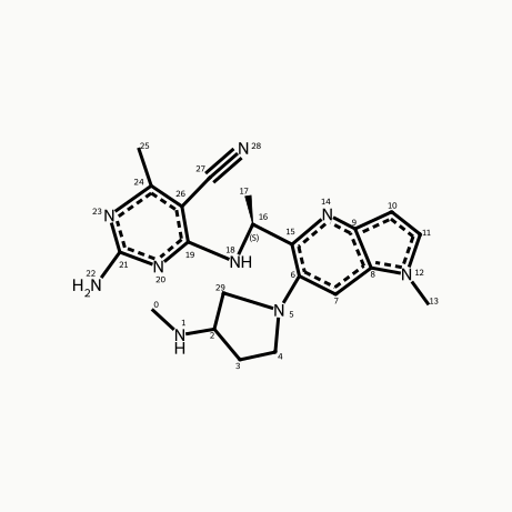 CNC1CCN(c2cc3c(ccn3C)nc2[C@H](C)Nc2nc(N)nc(C)c2C#N)C1